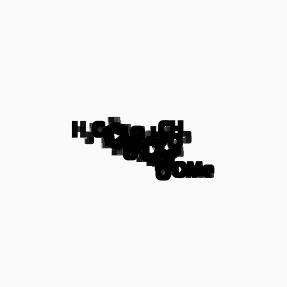 COC(=O)C1=CO[C@@H](C)[C@H]2CN(S(=O)(=O)c3ccc(C)cc3)CC[C@H]12